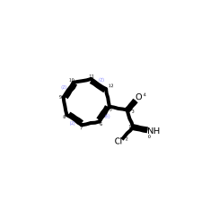 N=C(Cl)C(=O)C1=C/C=C\C=C/C=C\1